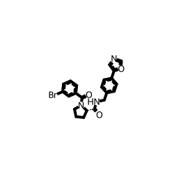 O=C(NCc1ccc(-c2cnco2)cc1)[C@@H]1CCCN1C(=O)c1cccc(Br)c1